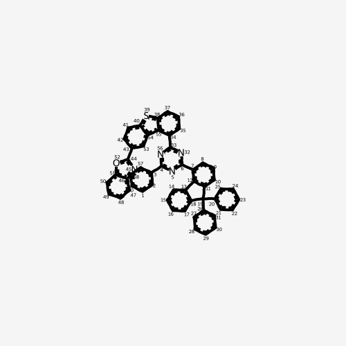 c1ccc(-c2nc(-c3cccc4c3-c3ccccc3C4(c3ccccc3)c3ccccc3)nc(-c3cccc4sc5ccc(-c6nc7ccccc7o6)cc5c34)n2)cc1